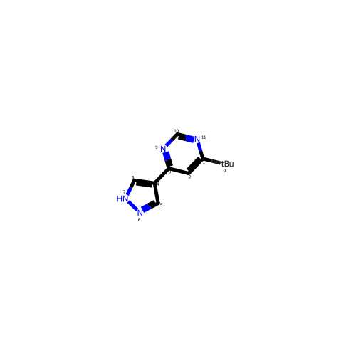 CC(C)(C)c1cc(-c2cn[nH]c2)ncn1